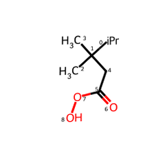 CC(C)C(C)(C)CC(=O)OO